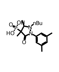 CCCCN1C(C)C(C)(P(=O)(O)O)C(=O)N1c1cc(C)cc(C)c1